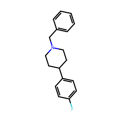 Fc1ccc(C2[CH]CN(Cc3ccccc3)CC2)cc1